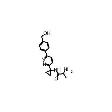 CC(N)C(=O)NC1(c2ccc(-c3ccc(CO)cc3)nn2)CC1